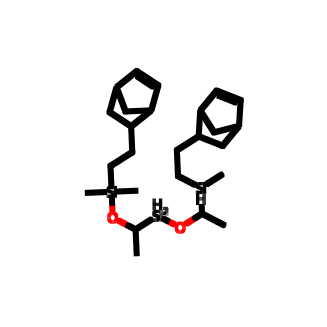 CC(O[Si](C)(C)CCC1CC2C=CC1C2)[SiH2]OC(C)[SiH](C)CCC1CC2C=CC1C2